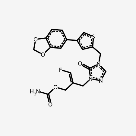 NC(=O)OCC(=CF)Cn1ncn(Cc2cc(-c3ccc4c(c3)OCO4)cs2)c1=O